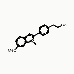 COc1ccc2cc(-c3ccc(CCO)cc3)n(C)c2c1